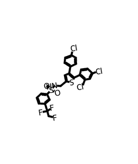 O=S(=O)(NCc1cc(-c2ccc(Cl)cc2)c(-c2ccc(Cl)cc2Cl)s1)c1cccc(C(F)(F)CF)c1